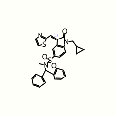 CN(C(c1ccccc1)c1ccccc1)S(=O)(=O)c1ccc2c(c1)/C(=C\c1nccs1)C(=O)N2CC1CC1